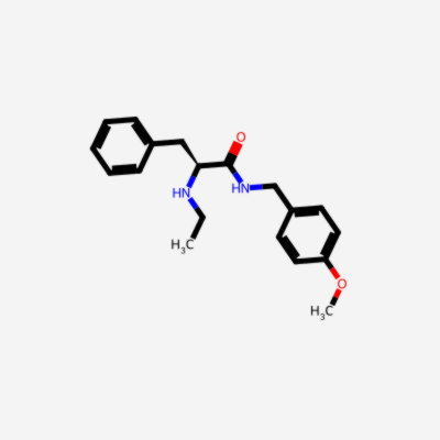 CCN[C@@H](Cc1ccccc1)C(=O)NCc1ccc(OC)cc1